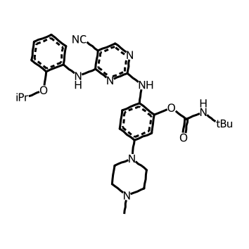 CC(C)Oc1ccccc1Nc1nc(Nc2ccc(N3CCN(C)CC3)cc2OC(=O)NC(C)(C)C)ncc1C#N